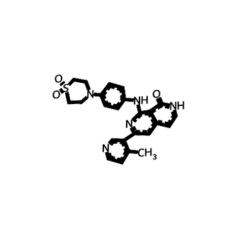 Cc1ccncc1-c1cc2cc[nH]c(=O)c2c(Nc2ccc(N3CCS(=O)(=O)CC3)cc2)n1